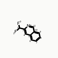 FC(F)c1cc2ccccc2[c]n1